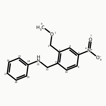 COCc1cc([N+](=O)[O-])ccc1CNc1ccccc1